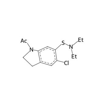 CCN(CC)Sc1cc2c(cc1Cl)CCN2C(C)=O